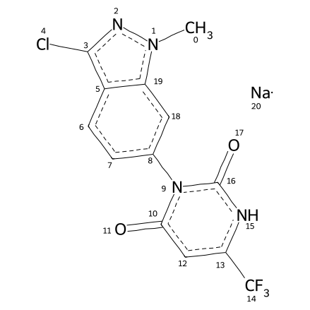 Cn1nc(Cl)c2ccc(-n3c(=O)cc(C(F)(F)F)[nH]c3=O)cc21.[Na]